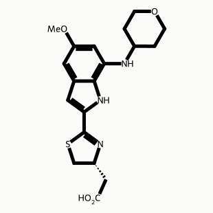 COc1cc(NC2CCOCC2)c2[nH]c(C3=N[C@H](CC(=O)O)CS3)cc2c1